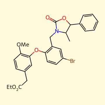 CCOC(=O)Cc1ccc(OC)c(Oc2ccc(Br)cc2CN2C(=O)OC(c3ccccc3)C2C)c1